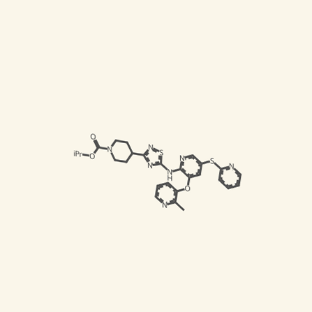 Cc1ncccc1Oc1cc(Sc2ccccn2)cnc1Nc1nc(C2CCN(C(=O)OC(C)C)CC2)ns1